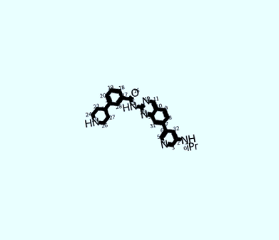 CC(C)Nc1cncc(-c2ccc3cnc(NC(=O)c4cccc(C5CCNCC5)c4)nc3c2)c1